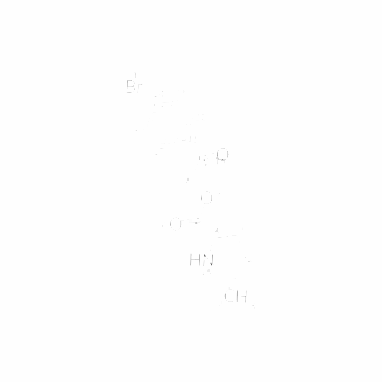 C[C@H]1CC[C@@H](C(=O)OCC(=O)c2ccc(Br)cc2)N1